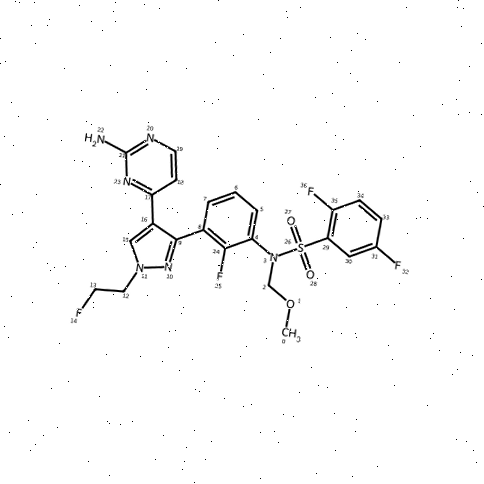 COCN(c1cccc(-c2nn(CCF)cc2-c2ccnc(N)n2)c1F)S(=O)(=O)c1cc(F)ccc1F